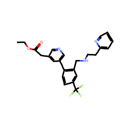 CCOC(=O)Cc1cncc(-c2ccc(C(F)(F)F)cc2CNCCc2ccccn2)c1